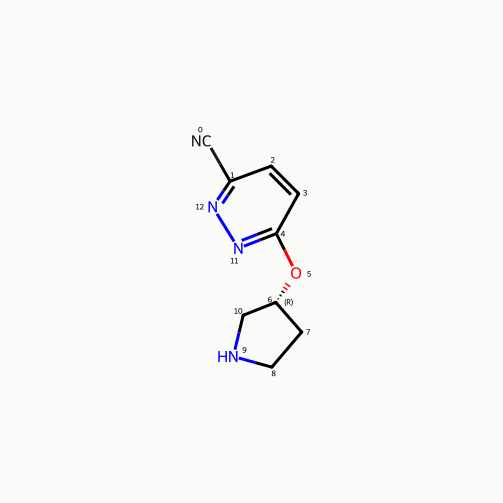 N#Cc1ccc(O[C@@H]2CCNC2)nn1